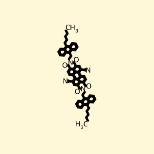 CCCCCCc1c2ccccc2c(CCN2C(=O)c3ccc4c5c(C#N)cc6c7c(ccc(c8c(C#N)cc(c3c48)C2=O)c75)C(=O)N(CCc2c3ccccc3c(CCCCCC)c3ccccc23)C6=O)c2ccccc12